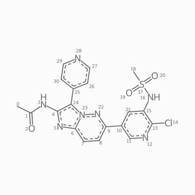 CC(=O)Nc1nc2ccc(-c3cnc(Cl)c(NS(C)(=O)=O)c3)nn2c1-c1ccncc1